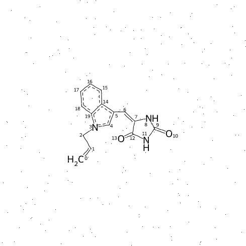 C=CCn1cc(/C=C2/NC(=O)NC2=O)c2ccccc21